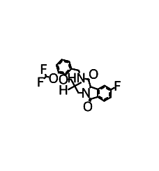 CC(C)(CO)CN1C(=O)c2ccc(F)cc2C1C(=O)NCc1cccc(OC(F)F)c1